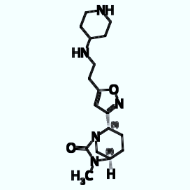 CN1C(=O)N2C[C@H]1CC[C@H]2c1cc(CCNC2CCNCC2)on1